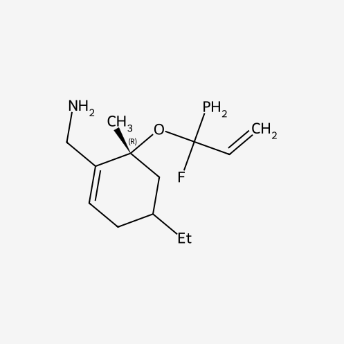 C=CC(F)(P)O[C@]1(C)CC(CC)CC=C1CN